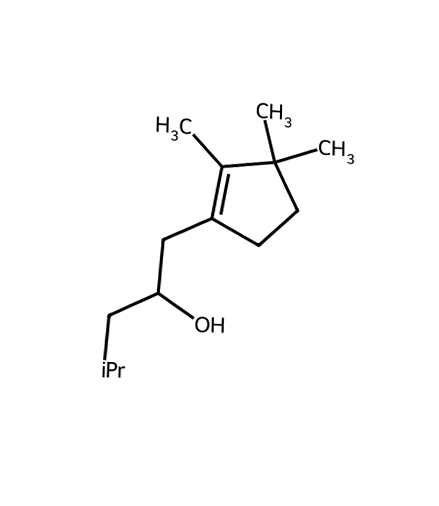 CC1=C(CC(O)CC(C)C)CCC1(C)C